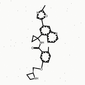 Cc1ncc(-c2cc(C3(NC(=O)c4cc(OC[C@@H]5CCN5)ccc4C)CC3)c3cccnc3c2)o1